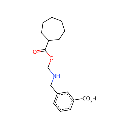 O=C(O)c1cccc(CNCOC(=O)C2CCCCCC2)c1